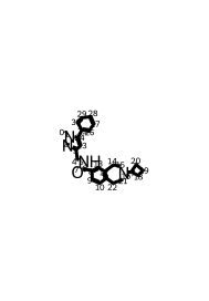 Cn1nc(CNC(=O)c2ccc3c(c2)CCN(C2CCC2)CC3)cc1-c1ccccc1